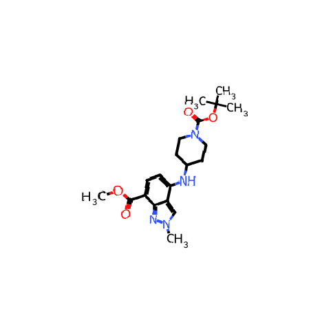 COC(=O)c1ccc(NC2CCN(C(=O)OC(C)(C)C)CC2)c2cn(C)nc12